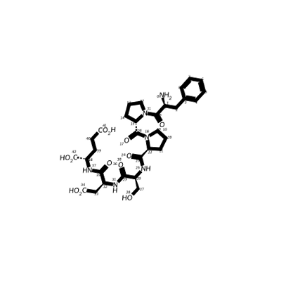 N[C@@H](Cc1ccccc1)C(=O)N1CCC[C@H]1C(=O)N1CCC[C@H]1C(=O)N[C@@H](CO)C(=O)N[C@@H](CC(=O)O)C(=O)N[C@@H](CCC(=O)O)C(=O)O